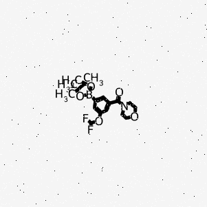 CC1(C)OB(c2cc(OC(F)F)cc(C(=O)N3CCOCC3)c2)OC1(C)C